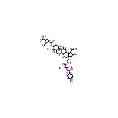 CC(C)C1=C2C3CCC4C(CCC5C(C)(C)C(OC(=O)C6CC(C(=O)O)C6C)CCC45C)C3CCC2(CCNC(=O)C(C)(C)NC(=O)c2ccc(Cl)cc2)CC1=O